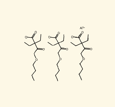 CCCCOCC(=O)C(CC)(CC)C(=O)[O-].CCCCOCC(=O)C(CC)(CC)C(=O)[O-].CCCCOCC(=O)C(CC)(CC)C(=O)[O-].[Al+3]